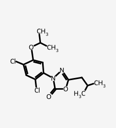 CC(C)Cc1nn(-c2cc(OC(C)C)c(Cl)cc2Cl)c(=O)o1